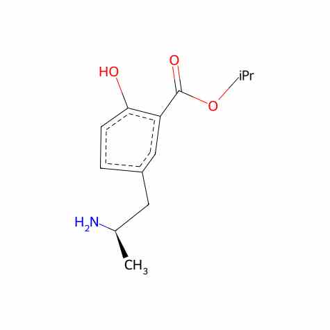 CC(C)OC(=O)c1cc(C[C@@H](C)N)ccc1O